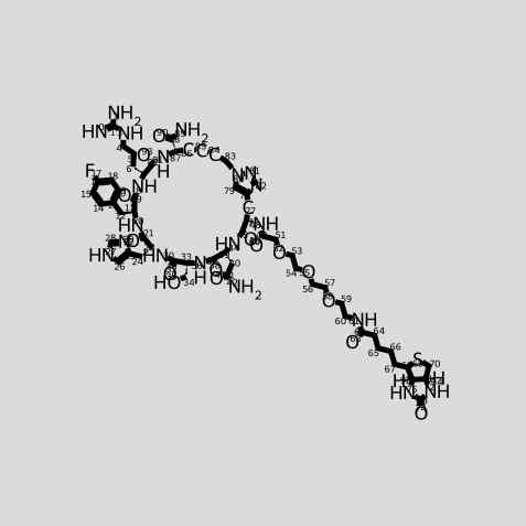 N=C(N)NCCC[C@H]1NC(=O)[C@H](Cc2ccc(F)cc2)NC(=O)[C@@H](Cc2c[nH]cn2)NC(=O)[C@@H](CO)NC(=O)[C@@H](CC(N)=O)NC(=O)[C@@H](NC(=O)COCCOCCOCCNC(=O)CCCCC2SC[C@H]3NC(=O)N[C@@H]23)Cc2cn(nn2)CCCC[C@@H](C(N)=O)NC1=O